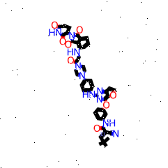 CC(C)(C)/C=C(\C#N)C(=O)Nc1cccc(Oc2nc(Nc3ccc(N4CCN(C(=O)CNc5cccc6c5C(=O)N(C5CCC(=O)NC5=O)C6=O)CC4)cc3)nc3ccoc23)c1